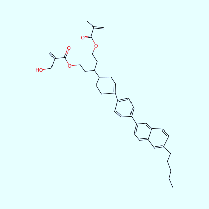 C=C(C)C(=O)OCCC(CCOC(=O)C(=C)CO)C1CC=C(c2ccc(-c3ccc4cc(CCCCC)ccc4c3)cc2)CC1